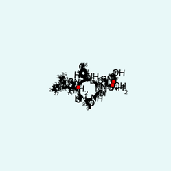 CC[C@H](C)[C@@H]1NC(=O)CNC(=O)[C@H](NC(=O)[C@@H](N)[C@@H](C)C(CO[Si](C)(C)C(C)(C)C)O[Si](C)(C)C(C)(C)C)Cc2c([nH]c3cc(OC)ccc23)SC[C@H](C(=O)N[C@@H](CC(N)=O)C(=O)N2C[C@H](O)C[C@H]2C(=O)O)NC(=O)CNC1=O